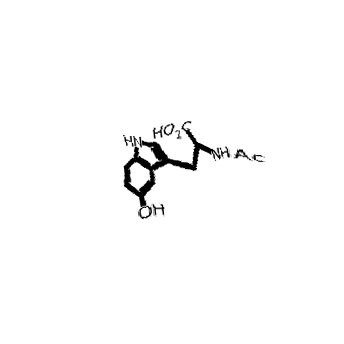 CC(=O)NC(Cc1c[nH]c2ccc(O)cc12)C(=O)O